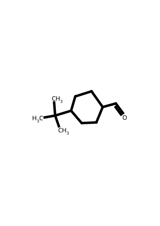 CC(C)(C)C1CCC(C=O)CC1